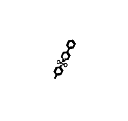 Cc1ccc(S(=O)(=O)N2CC=C(c3ccccc3)CC2)cc1